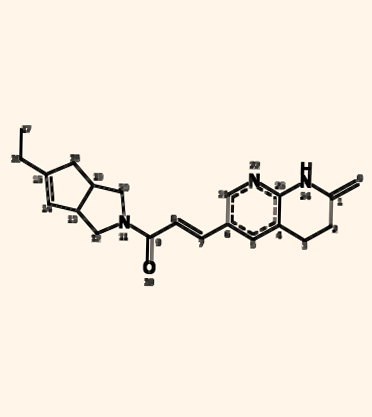 C=C1CCc2cc(/C=C/C(=O)N3CC4C=C(CC)CC4C3)cnc2N1